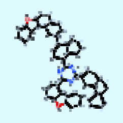 c1ccc2c(c1)ccc1ccc(-c3nc(-c4ccc(-c5ccc6ccc7oc8ccccc8c7c6c5)c5ccccc45)nc(-c4cccc5oc6ccccc6c45)n3)cc12